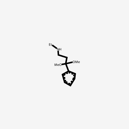 CCNCCC(OC)(OC)c1ccccc1